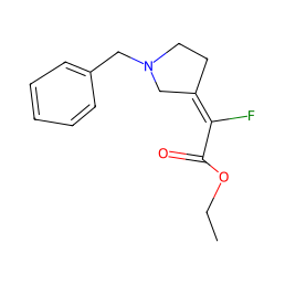 CCOC(=O)C(F)=C1CCN(Cc2ccccc2)C1